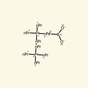 CCC[P+](CCC)(CCC)CCC.CCC[P+](CCC)(CCC)CCC.[O-]B([O-])F